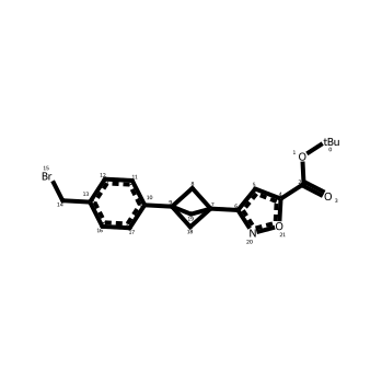 CC(C)(C)OC(=O)c1cc(C23CC(c4ccc(CBr)cc4)(C2)C3)no1